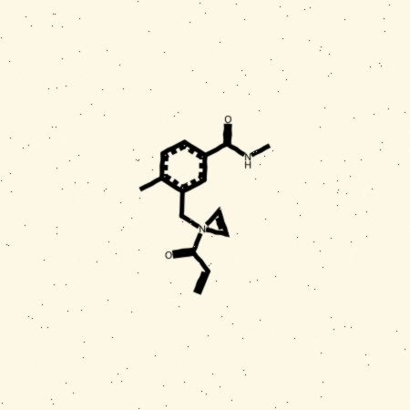 C=CC(=O)[N+]1(Cc2cc(C(=O)NC)ccc2C)C=C1